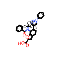 CC(C)(C)N(C(=O)c1ccccc1)c1c(-c2cnn(-c3ccccc3)c2)ccc2cc(C(=O)O)oc12